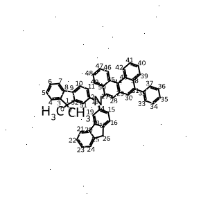 CC1(C)c2ccccc2-c2ccc(N(c3ccc4c(c3)-c3ccccc3C4)c3cc4cc(-c5ccccc5)c5ccccc5c4c4ccccc34)cc21